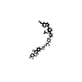 CC(C)Nc1cc(-c2ccc3cc(C#N)cnn23)ncc1-c1nnc(N2CCN(C(=O)CCOCCNc3ccc4c(c3)C(=O)N(C3CCC(=O)NC3=O)C4=O)CC2)s1